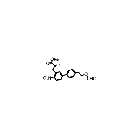 COC(=O)C(=O)Cc1cc(-c2ccc(CCOC=O)cc2)ccc1[N+](=O)[O-]